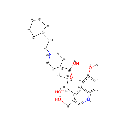 COc1ccc2ncc(CO)c([C@H](O)CCC3(C(=O)O)CCN(CCC4CCCCC4)CC3)c2c1